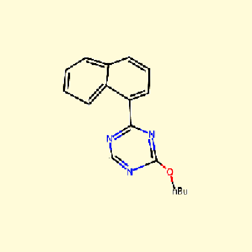 CCCCOc1n[c]nc(-c2cccc3ccccc23)n1